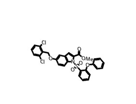 COC(=O)c1cc2cc(OCc3c(Cl)cccc3Cl)ccc2n1S(=O)(=O)c1ccccc1Oc1ccccc1